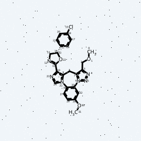 COCc1nnn2c1Cc1c(C3=NC[C@H](c4ccc(Cl)cc4)O3)ncn1-c1ccc(OC)cc1-2